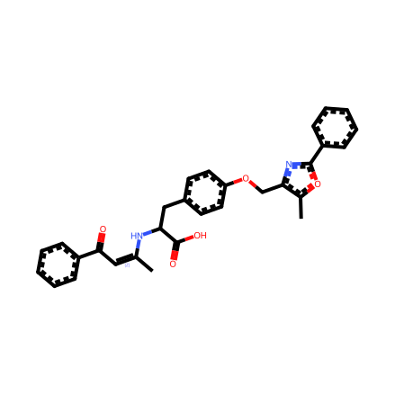 C/C(=C/C(=O)c1ccccc1)NC(Cc1ccc(OCc2nc(-c3ccccc3)oc2C)cc1)C(=O)O